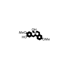 COc1ccc2c(c1)CCN(CO)C2Cc1ccc(OC)c(O)c1